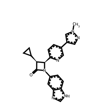 Cn1cc(-c2ccc([C@@H]3[C@H](C4CC4)C(=O)N3c3ccc4[nH]cnc4c3)nc2)cn1